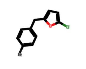 CCc1ccc(Cc2ccc(Cl)o2)cc1